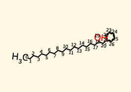 CCCCCCCCCCCCCCCCCCC(O)[CH]c1ccccc1